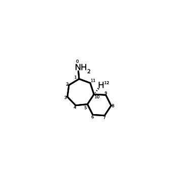 NC1CCCC2CCCC[C@@H]2C1